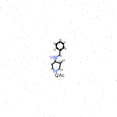 CC(=O)ON1CCC(NCc2ccccc2)C(C)C1